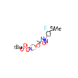 CSc1ccc(-c2noc([C@H](C)OC3CCN(OC(=O)OC(C)(C)C)CC3)n2)cc1F